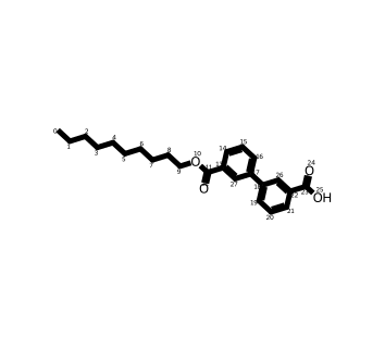 CCCCCCCCCCOC(=O)c1cccc(-c2cccc(C(=O)O)c2)c1